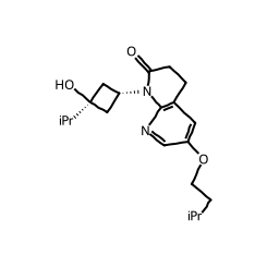 CC(C)CCOc1cnc2c(c1)CCC(=O)N2[C@H]1C[C@@](O)(C(C)C)C1